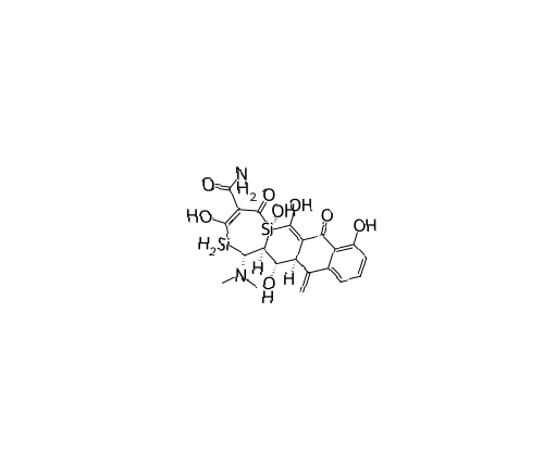 C=C1c2cccc(O)c2C(=O)C2=C(O)[Si@]3(O)C(=O)C(C(N)=O)=C(O)[SiH2][C@@H](N(C)C)[C@@H]3[C@@H](O)[C@H]12